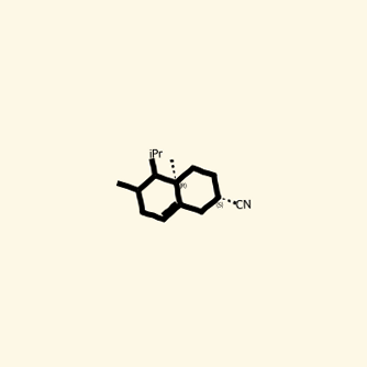 CC(C)C1C(C)CC=C2C[C@@H](C#N)CC[C@@]21C